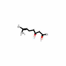 CCC(=O)CC(=O)CCC=C(C)CC